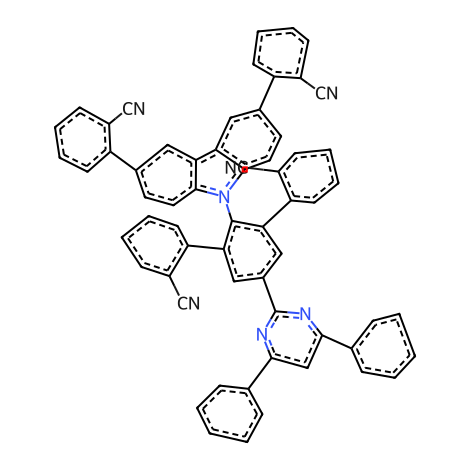 N#Cc1ccccc1-c1ccc2c(c1)c1cc(-c3ccccc3C#N)ccc1n2-c1c(-c2ccccc2C#N)cc(-c2nc(-c3ccccc3)cc(-c3ccccc3)n2)cc1-c1ccccc1C#N